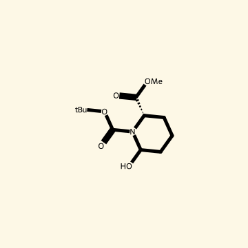 COC(=O)[C@@H]1CCCC(O)N1C(=O)OC(C)(C)C